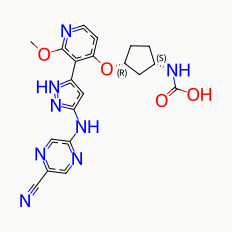 COc1nccc(O[C@@H]2CC[C@H](NC(=O)O)C2)c1-c1cc(Nc2cnc(C#N)cn2)n[nH]1